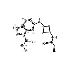 C=CC(=O)NC1CC(Nc2cnc3[nH]cc(C(=O)NC(C)C)c3n2)C1